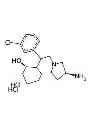 Cl.Cl.N[C@H]1CCN(CC(c2cccc(Cl)c2)C2CCCC[C@H]2O)C1